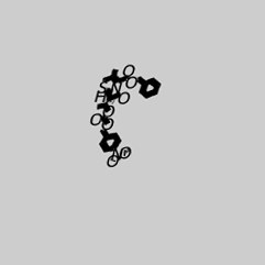 CC1=C(C(=O)OCc2ccccc2)N2C(=O)[C@H](C(C)OC(=O)OCc3ccc([N+](=O)[O-])cc3)[C@H]2SC1